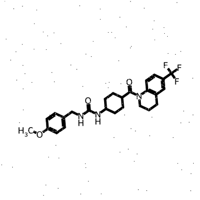 COc1ccc(CNC(=O)NC2CCC(C(=O)N3CCCc4cc(C(F)(F)F)ccc43)CC2)cc1